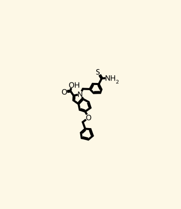 NC(=S)c1cccc(Cn2c(C(=O)O)cc3cc(OCc4ccccc4)ccc32)c1